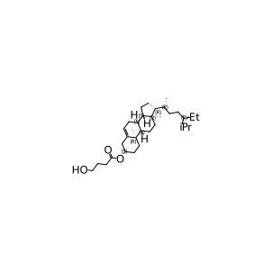 CC[C@H](CC[C@@H](C)[C@H]1CC[C@H]2[C@@H]3CC=C4C[C@@H](OC(=O)CCCO)CC[C@]4(C)[C@H]3CC[C@]12C)C(C)C